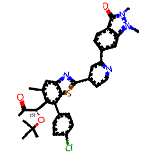 CC(=O)[C@@H](OC(C)(C)C)c1c(C)cc2nc(-c3ccnc(-c4ccc5c(=O)n(C)n(C)c5c4)c3)sc2c1-c1ccc(Cl)cc1